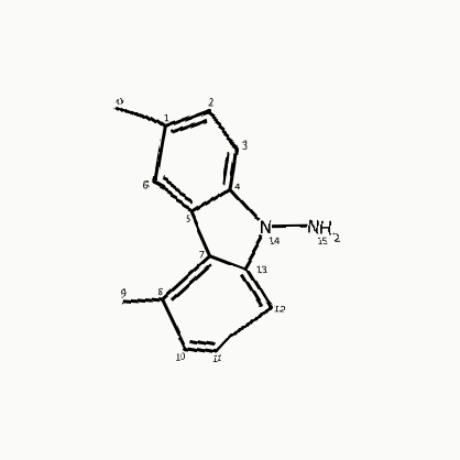 Cc1ccc2c(c1)c1c(C)cccc1n2N